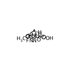 Cc1ccc(OCC2CC2)c(-c2ncnc3c(C(=O)N[C@H]4CC[C@@H](O)CC4)c(C)[nH]c23)c1F